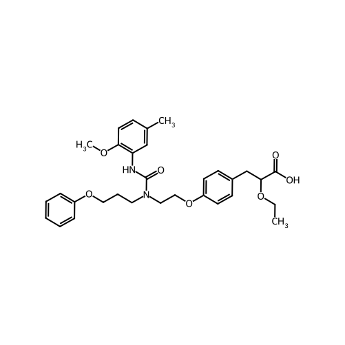 CCOC(Cc1ccc(OCCN(CCCOc2ccccc2)C(=O)Nc2cc(C)ccc2OC)cc1)C(=O)O